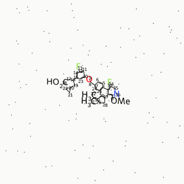 COc1cc(-c2ccc(COc3cc(F)cc([C@H](CC(=O)O)CC4CC4)c3)cc2[C@H]2CCCC2(C)C)c(F)cn1